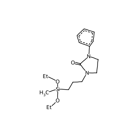 CCO[Si](C)(CCCN1CCN(c2ccccc2)C1=O)OCC